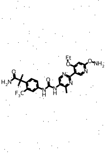 CCOc1cc(ON)ncc1-c1ncc(NC(=O)Nc2ccc(C(C)(C)C(N)=O)c(C(F)(F)F)c2)c(C)n1